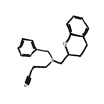 N#CCCN(Cc1ccccc1)CC1CCc2ccccc2O1